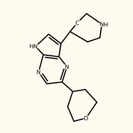 c1nc2[nH]cc(C3CCNCC3)c2nc1C1CCOCC1